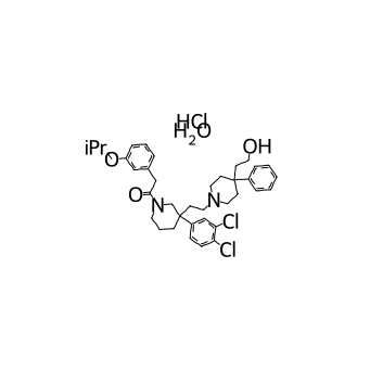 CC(C)Oc1cccc(CC(=O)N2CCCC(CCN3CCC(CCO)(c4ccccc4)CC3)(c3ccc(Cl)c(Cl)c3)C2)c1.Cl.O